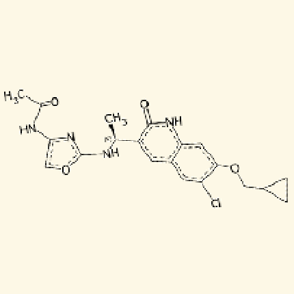 CC(=O)Nc1coc(N[C@@H](C)c2cc3cc(Cl)c(OCC4CC4)cc3[nH]c2=O)n1